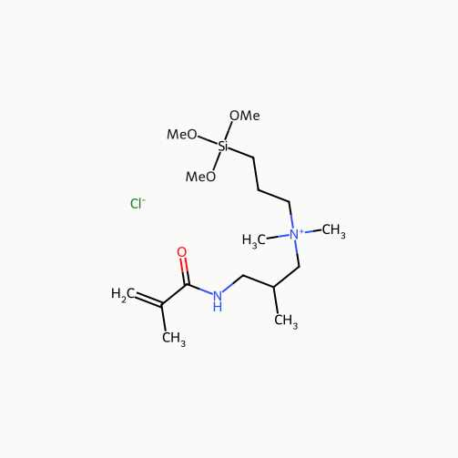 C=C(C)C(=O)NCC(C)C[N+](C)(C)CCC[Si](OC)(OC)OC.[Cl-]